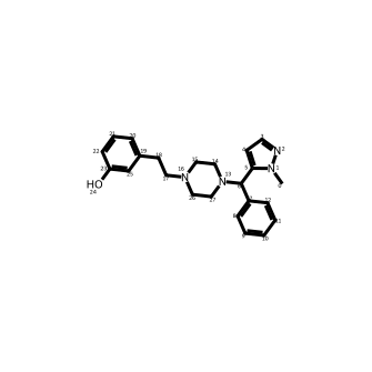 Cn1nccc1C(c1ccccc1)N1CCN(CCc2cccc(O)c2)CC1